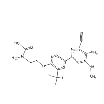 CNc1cc(-c2cnc(OCCN(C)C(=O)O)c(C(F)(F)F)c2)nc(C#N)c1N